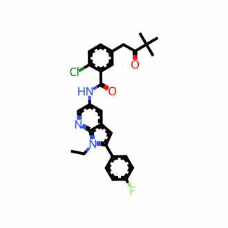 CCn1c(-c2ccc(F)cc2)cc2cc(NC(=O)c3cc(CC(=O)C(C)(C)C)ccc3Cl)cnc21